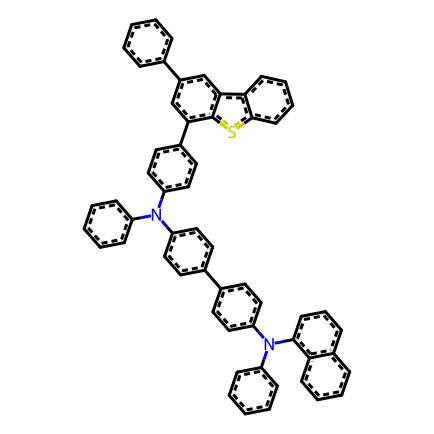 c1ccc(-c2cc(-c3ccc(N(c4ccccc4)c4ccc(-c5ccc(N(c6ccccc6)c6cccc7ccccc67)cc5)cc4)cc3)c3sc4ccccc4c3c2)cc1